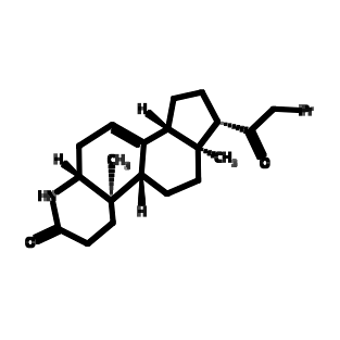 CC(C)CC(=O)[C@H]1CC[C@H]2C3=CC[C@H]4NC(=O)CC[C@]4(C)[C@H]3CC[C@]12C